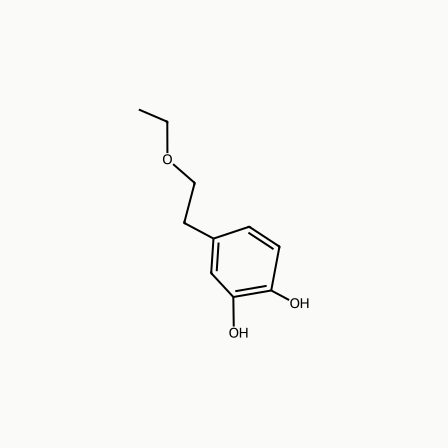 CCOCCc1ccc(O)c(O)c1